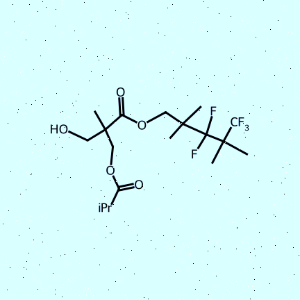 CC(C)C(=O)OCC(C)(CO)C(=O)OCC(C)(C)C(F)(F)C(C)(C)C(F)(F)F